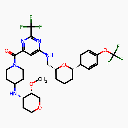 CO[C@@H]1COCC[C@@H]1NC1CCN(C(=O)c2cc(NC[C@H]3CCC[C@@H](C4C=CC(OC(F)(F)F)=CC4)O3)nc(C(F)(F)F)n2)CC1